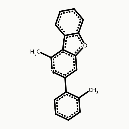 Cc1ccccc1-c1cc2oc3ccccc3c2c(C)n1